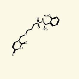 COc1ccccc1[C@@H](C)NS(=O)(=O)CCCOCn1ccc(=O)[nH]c1=O